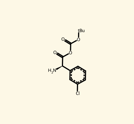 CC(C)(C)OC(=O)OC(=O)[C@H](N)c1cccc(Cl)c1